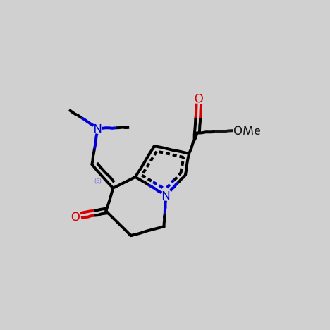 COC(=O)c1cc2n(c1)CCC(=O)/C2=C/N(C)C